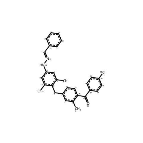 Cc1cc(Cc2c(Cl)cc(N/N=C/c3ccccc3)cc2Cl)ccc1C(=O)c1ccc(Cl)cc1